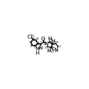 O=C(c1n[nH]c2ccc(Cl)cc12)N1C[C@H]2C[N@]3CC[C@H]2[C@H]1C3